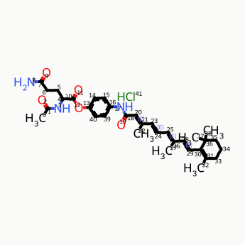 CC(=O)NC(CCC(N)=O)C(=O)Oc1ccc(NC(=O)/C=C(C)/C=C/C=C(C)/C=C/C2=C(C)CCCC2(C)C)cc1.Cl